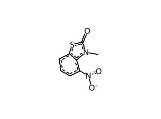 Cn1c(=O)sc2cccc([N+](=O)[O-])c21